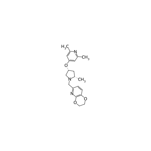 Cc1cc(O[C@@H]2C[C@H](C)N(Cc3ccc4c(n3)OCCO4)C2)cc(C)n1